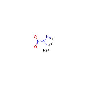 O=[N+]([O-])n1cccn1.[Re+3]